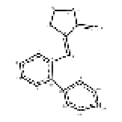 O=C1NCC/C1=C\c1ccccc1-c1ccncc1